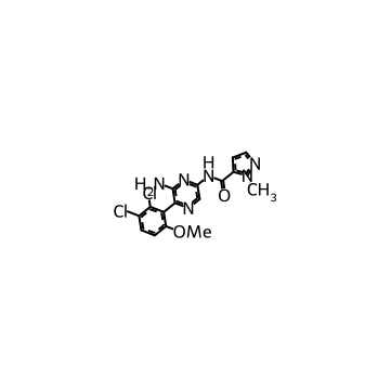 COc1ccc(Cl)c(Cl)c1-c1ncc(NC(=O)c2ccnn2C)nc1N